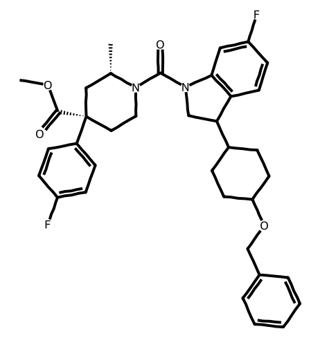 COC(=O)[C@@]1(c2ccc(F)cc2)CCN(C(=O)N2CC(C3CCC(OCc4ccccc4)CC3)c3ccc(F)cc32)[C@@H](C)C1